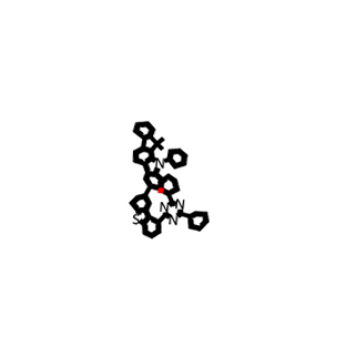 CC1(C)c2ccccc2-c2ccc3c4cc(-c5ccc6sc7cccc(-c8nc(-c9ccccc9)nc(-c9ccccc9)n8)c7c6c5)ccc4n(-c4ccccc4)c3c21